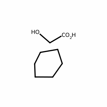 C1CCCCC1.O=C(O)CO